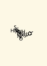 CNC(=O)[C@H](CSCc1ccc(C)cc1)NC(=O)Nc1n[nH]c(=S)s1